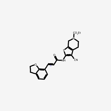 CCOC(=O)N1CCc2c(sc(NC(=O)/C=C/c3cccc4c3OCC4)c2C#N)C1